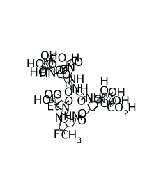 CC[C@@]1(O)C(=O)OCc2c1cc1n(c2=O)Cc2c-1nc1cc(F)c(C)c3c1c2[C@@H](NC(=O)OCc1ccc(O[C@@H]2O[C@H](C(=O)O)[C@@H](O)[C@H](O)[C@H]2O)c(NC(=O)CCNC(=O)[C@H](CCCC(=O)N[C@H]2O[C@H](C(=O)O)[C@@H](O)[C@H](O)[C@H]2O)NC(=O)CN2C(=O)C=CC2=O)c1)CC3